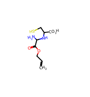 C=CCOC(=O)C(N)NC(CS)C(=O)O